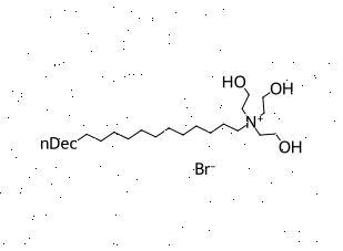 CCCCCCCCCCCCCCCCCCCCCC[N+](CCO)(CCO)CCO.[Br-]